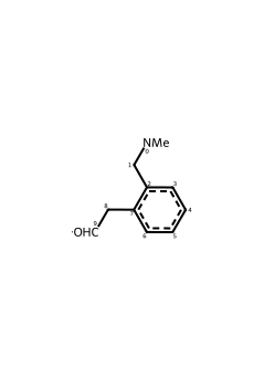 CNCc1ccccc1C[C]=O